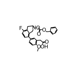 COc1ccc(-c2ccc(F)c3c2CN(OC(=O)OCc2ccccc2)CC3)cc1CC(=O)O